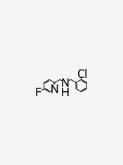 Fc1ccc(CNCc2ccccc2Cl)nc1